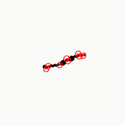 C=C(C)C(=O)OCCCCCCOc1ccc(C(=O)Oc2ccc(CCC(=O)OCOC)cc2)cc1